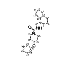 O=C(NCc1cccc2ccccc12)N1CCC(Oc2cnccn2)CC1